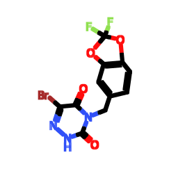 O=c1[nH]nc(Br)c(=O)n1Cc1ccc2c(c1)OC(F)(F)O2